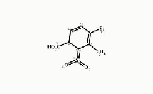 CCC1=C(C)C(=S(=O)=O)C(C(=O)O)C=C1